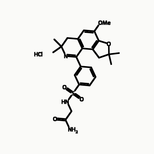 COc1cc2c(c3c1OC(C)(C)C3)C(c1cccc(S(=O)(=O)NCC(N)=O)c1)=NC(C)(C)C2.Cl